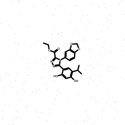 CCOC(=O)c1nnc(-c2cc(C(C)C)c(O)cc2O)n1-c1ccc2c(c1)OCO2